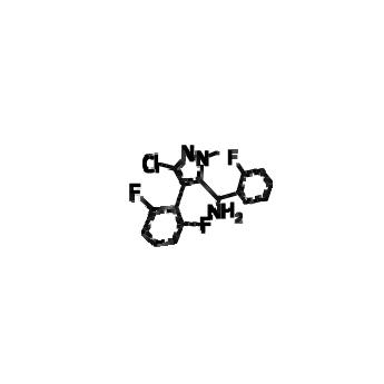 Cn1nc(Cl)c(-c2c(F)cccc2F)c1C(N)c1ccccc1F